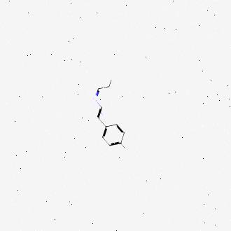 CC/C=N\C=C\c1ccc(C)cc1